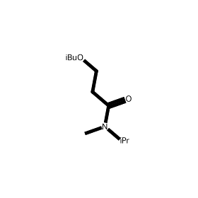 CC(C)COCCC(=O)N(C)C(C)C